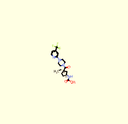 CC[C@@]1(C(=O)N2CCN(c3cc(C(F)(F)F)ccn3)CC2)CC[C@H](NC(=O)O)C1